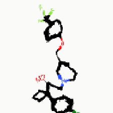 O[C@H](CN1CCC[C@H](COc2ccc(C(F)(F)F)cc2)C1)C1(c2ccc(Cl)cc2)CCC1